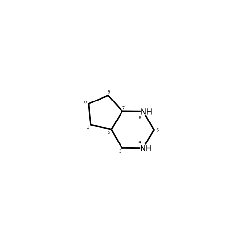 C1CC2CNCNC2C1